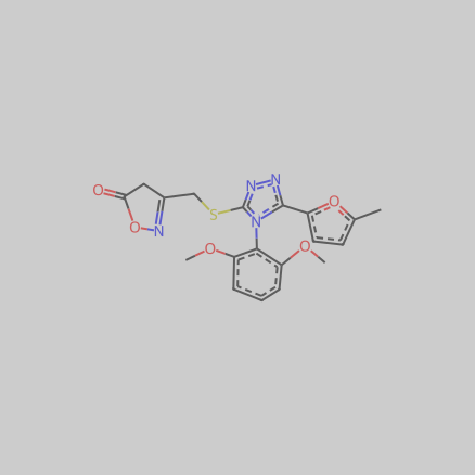 COc1cccc(OC)c1-n1c(SCC2=NOC(=O)C2)nnc1-c1ccc(C)o1